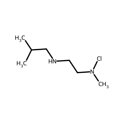 CC(C)CNCCN(C)Cl